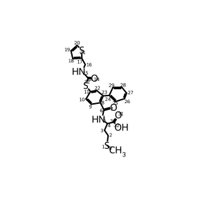 CSCCC(NC(=O)c1ccc(SC(=O)NCc2cccs2)cc1-c1ccccc1)C(=O)O